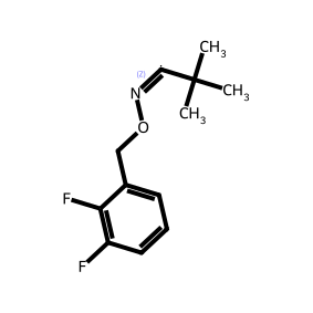 CC(C)(C)/[C]=N\OCc1cccc(F)c1F